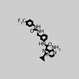 Nc1nccn2c(C3CC3)nc(C(=O)Nc3cccc(CNC(=O)Nc4ccc(C(F)(F)F)cc4)c3)c12